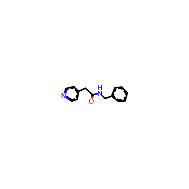 O=C(Cc1ccncc1)NCc1ccccc1